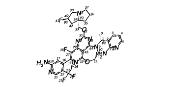 C[C@H](c1cccnc1N)N1CCOc2nc(-c3cc(N)ncc3C(F)(F)F)c(F)c3nc(OC[C@@]45CCCN4C[C@H](F)C5)nc1c23